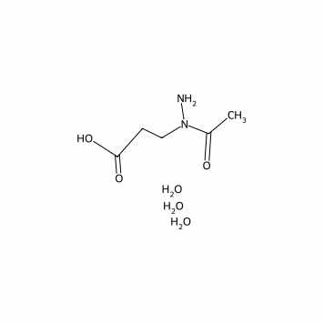 CC(=O)N(N)CCC(=O)O.O.O.O